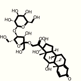 C[C@]12C=CC(=O)C=C1CC[C@H]1[C@@H]3C[C@@H](O)[C@](O)(C(=O)COC4(CO)O[C@H](CO)[C@@H](O[C@@H]5O[C@H](CO)[C@H](O)[C@H](O)[C@H]5O)[C@@H]4O)[C@@]3(C)C[C@H](O)[C@@]12F